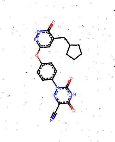 N#Cc1nn(-c2ccc(Oc3cc(CC4CCCC4)c(=O)[nH]n3)cc2)c(=O)[nH]c1=O